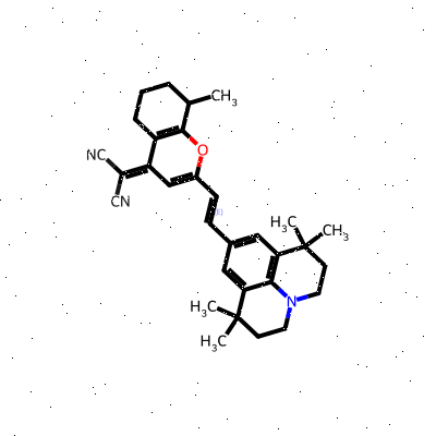 CC1CCCC2=C1OC(/C=C/c1cc3c4c(c1)C(C)(C)CCN4CCC3(C)C)=CC2=C(C#N)C#N